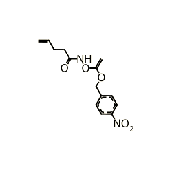 C=CCCC(=O)NOC(=C)OCc1ccc([N+](=O)[O-])cc1